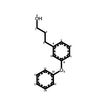 OCCCc1cccc(Oc2ccccc2)c1